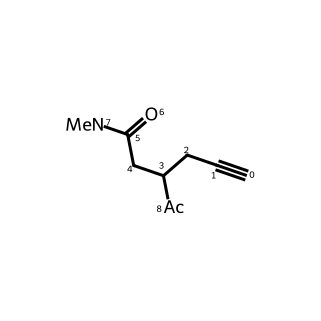 C#CCC(CC(=O)NC)C(C)=O